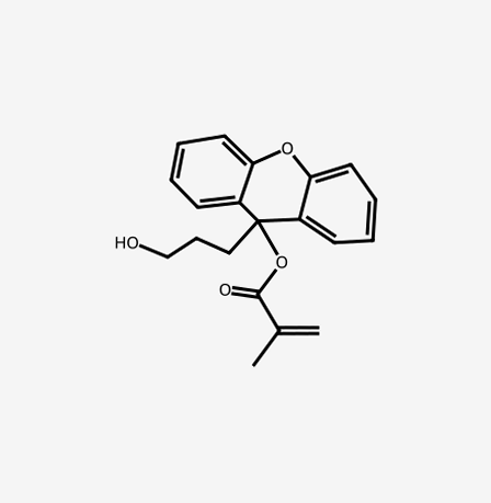 C=C(C)C(=O)OC1(CCCO)c2ccccc2Oc2ccccc21